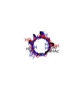 C=CCCC[C@]1(C)NC(=O)[C@H](Cc2c[nH]c3ncccc23)NC(=O)[C@H]([C@@H](C)O)NC(=O)[C@@H]2CCCN2C(=O)[C@H](Cc2ccc(O)cc2)NC(=O)[C@H](C(C)(C)C)NC(=O)[C@@H](NC(C)=O)CCCC(=O)NCCCC[C@@H](C(N)=O)NC(=O)[C@](C)(CC)NC(=O)[C@H](CCC)NC(=O)[C@H](Cc2ccc(O)cc2)NC(=O)[C@H](C)NC1=O